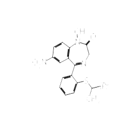 CC(C)C(C)Sc1ccccc1C1=NCC(=O)N(C)c2ccc([N+](=O)[O-])cc21